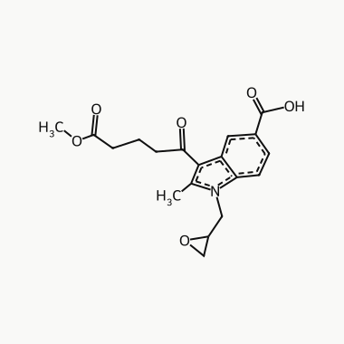 COC(=O)CCCC(=O)c1c(C)n(CC2CO2)c2ccc(C(=O)O)cc12